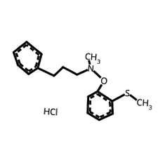 CSc1ccccc1ON(C)CCCc1ccccc1.Cl